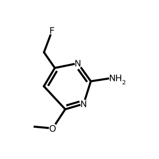 COc1cc(CF)nc(N)n1